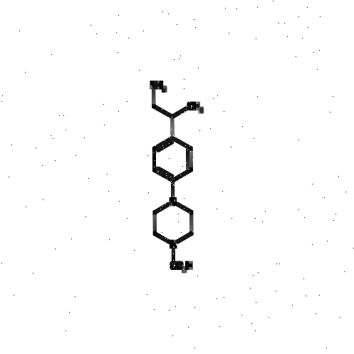 CC(CN)c1ccc(N2CCN(C(=O)O)CC2)cc1